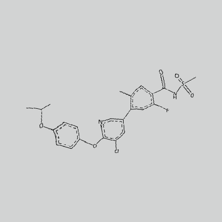 Cc1cc(C(=O)NS(C)(=O)=O)c(F)cc1-c1cnc(Oc2ccc(OC(C)C)cc2)c(Cl)c1